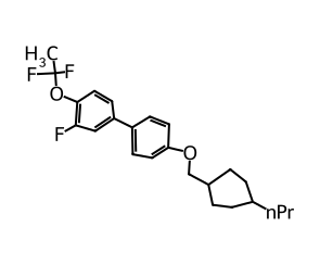 CCCC1CCC(COc2ccc(-c3ccc(OC(C)(F)F)c(F)c3)cc2)CC1